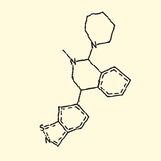 CN1CC(c2ccc3cnsc3c2)c2ccccc2C1N1CCCCC1